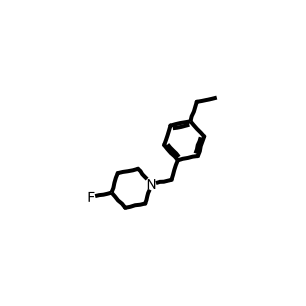 CCc1ccc(CN2CCC(F)CC2)cc1